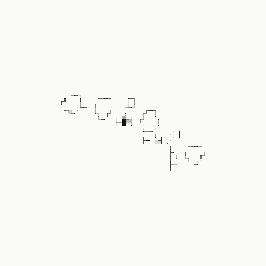 O=C(Nc1ccccc1)Nc1cccc(NC(=O)c2ccc(-c3ccccc3)cc2)c1